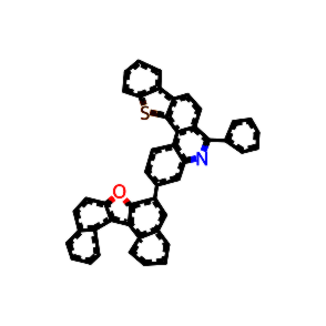 c1ccc(-c2nc3cc(-c4cc5ccccc5c5c4oc4ccc6ccccc6c45)ccc3c3c2ccc2c4ccccc4sc23)cc1